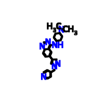 CN(C)C1CCC(Nc2ncnc3ccc(-c4cnn(Cc5ccncc5)c4)cc23)CC1